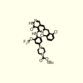 CC(C)(C)OC(=O)N1CCN(c2ccc(Nc3nc(Cc4c(Cl)cccc4Cl)cc4cn[nH]c(=O)c34)c(OC(F)(F)F)c2)CC1